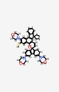 CCC1(CC)c2ccccc2-c2c1c1c(c3cc(SC)c(N4CCOCC4)cc23)OC(C2=CC=C(N3CCOCC3)CC2)(c2ccc(N3CCOCC3)cc2)C=C1